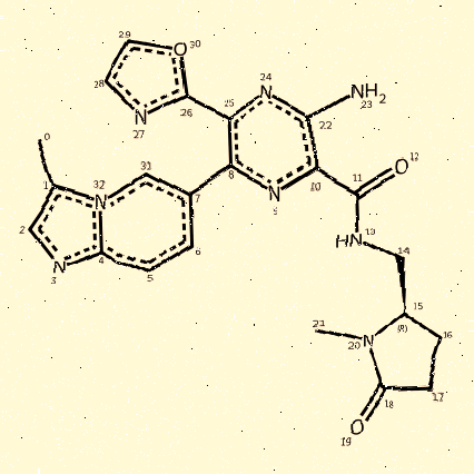 Cc1cnc2ccc(-c3nc(C(=O)NC[C@H]4CCC(=O)N4C)c(N)nc3-c3ncco3)cn12